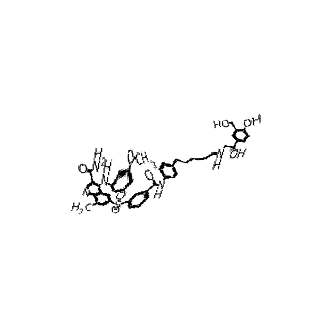 COc1cccc(Nc2c(C(N)=O)cnc3c(C)cc(S(=O)(=O)c4cccc(C(=O)Nc5ccc(CCCCCNC[C@H](O)c6ccc(O)c(CO)c6)cc5)c4)cc23)c1